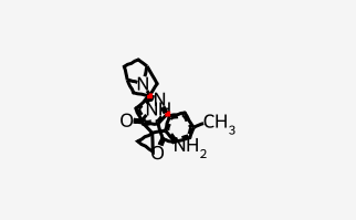 Cc1ccc(C2(C(=O)NC3CC4CCC(C3)N4c3ccc(C(N)=O)cn3)CC2)cc1